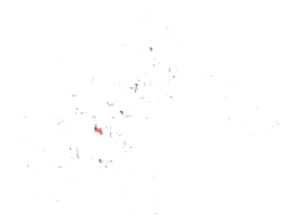 c1ccc(-c2ccc(-c3cc(-c4cccc(-n5c6ccccc6c6ccc7c8ccccc8n(-c8nc(-c9ccccc9)nc(-c9ccccc9)n8)c7c65)c4)nc(-c4ccccc4)n3)cc2)cc1